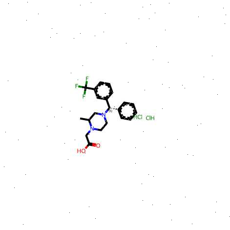 CC1CN([C@@H](c2ccccc2)c2cccc(C(F)(F)F)c2)CCN1CC(=O)O.Cl.Cl